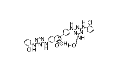 O=S(=O)(O)c1cc(Nc2ncnc(Nc3ccccc3Cl)n2)ccc1C=Cc1ccc(Nc2nc(NCCO)nc(Nc3ccccc3Cl)n2)cc1